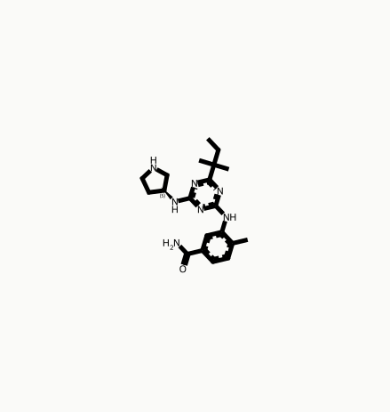 CCC(C)(C)c1nc(Nc2cc(C(N)=O)ccc2C)nc(N[C@H]2CCNC2)n1